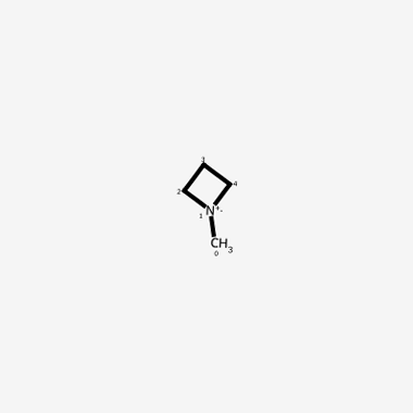 C[N+]1CCC1